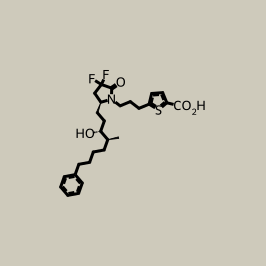 C[C@@H](CCCCc1ccccc1)[C@H](O)CC[C@H]1CC(F)(F)C(=O)N1CCCc1ccc(C(=O)O)s1